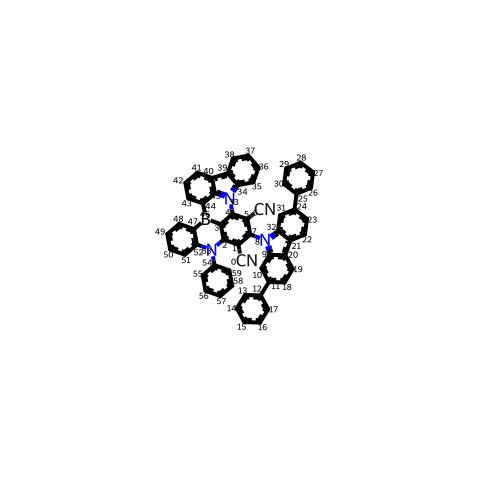 N#Cc1c2c3c(c(C#N)c1-n1c4cc(-c5ccccc5)ccc4c4ccc(-c5ccccc5)cc41)-n1c4ccccc4c4cccc(c41)B3c1ccccc1N2c1ccccc1